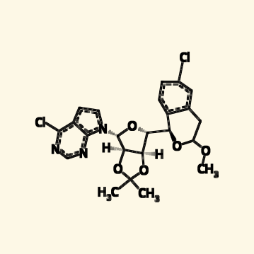 COC1Cc2cc(Cl)ccc2[C@H]([C@H]2O[C@@H](n3ccc4c(Cl)ncnc43)[C@@H]3OC(C)(C)O[C@@H]32)O1